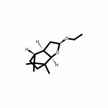 CCO[C@@H]1C[C@@H]2[C@H]3CCC(C)([C@@H]2O1)C3(C)C